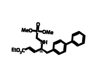 CCOC(=O)C=C[C@H](Cc1ccc(-c2ccccc2)cc1)NCP(=O)(OC)OC